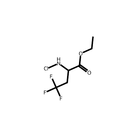 CCOC(=O)C(CC(F)(F)F)NCl